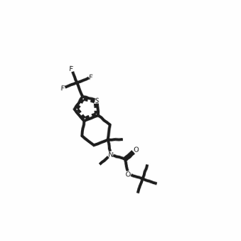 CN(C(=O)OC(C)(C)C)C1(C)CCc2cc(C(F)(F)F)sc2C1